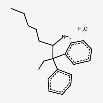 CCCCCC(N)C(CC)(c1ccccc1)c1ccccc1.O